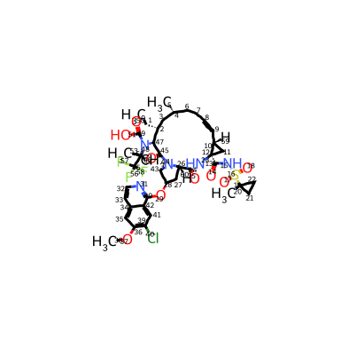 CC[C@@H]1C[C@H](C)CCC=C[C@@H]2C[C@@]2(C(=O)NS(=O)(=O)C2(C)CC2)NC(=O)[C@@H]2C[C@@H](Oc3nccc4cc(OC)c(Cl)cc34)CN2C(=O)[C@H]1N(C(=O)O)C(C)(C)C(F)(F)F